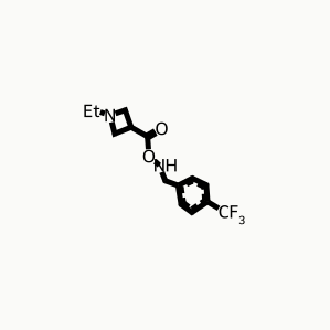 CCN1CC(C(=O)ONCc2ccc(C(F)(F)F)cc2)C1